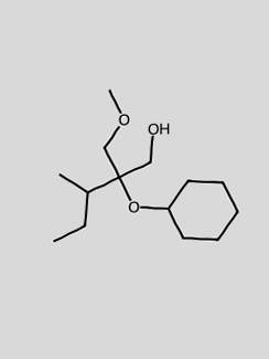 CCC(C)C(CO)(COC)OC1CCCCC1